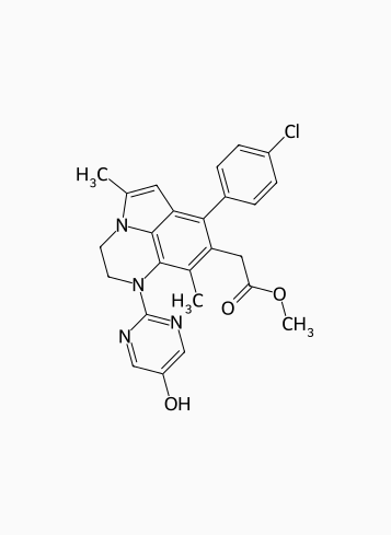 COC(=O)Cc1c(C)c2c3c(cc(C)n3CCN2c2ncc(O)cn2)c1-c1ccc(Cl)cc1